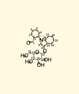 O=Cc1ccccc1-n1cc(O[C@H]2O[C@H](CO)[C@H](O)[C@H](O)[C@H]2O)c2ccccc21